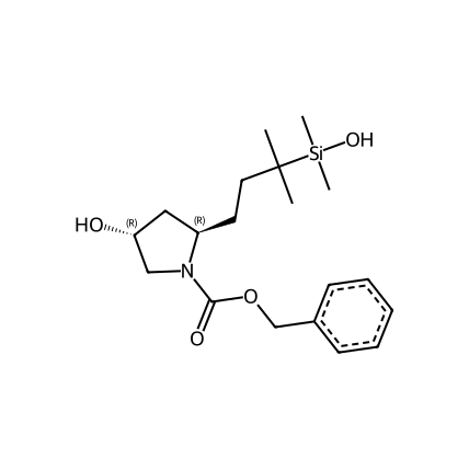 CC(C)(CC[C@@H]1C[C@@H](O)CN1C(=O)OCc1ccccc1)[Si](C)(C)O